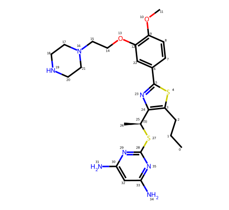 CCCc1sc(-c2ccc(OC)c(OCCN3CCNCC3)c2)nc1[C@H](C)Sc1nc(N)cc(N)n1